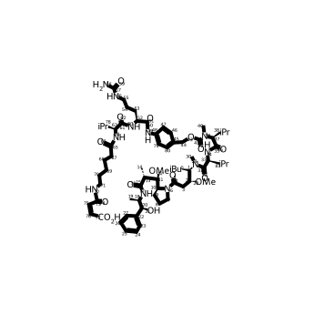 CC[C@H](C)[C@@H]([C@@H](CC(=O)N1CCC[C@H]1[C@H](OC)[C@@H](C)C(=O)N[C@H](C)[C@@H](O)c1ccccc1)OC)N(C)C(=O)[C@@H](NC(=O)[C@H](C(C)C)N(C)C(=O)OCc1ccc(NC(=O)[C@H](CCCNC(N)=O)NC(=O)[C@@H](NC(=O)CCCCCNC(=O)/C=C\C(=O)O)C(C)C)cc1)C(C)C